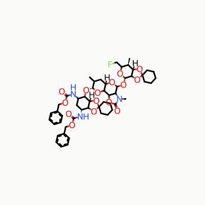 CC1C[C@@H]2OC(O[C@H]3OC(CF)[C@@H](C)[C@@H]4OC5(CCCCC5)OC34)C3C(OC(=O)N3C)C2O[C@@H]1O[C@@H]1C(NC(=O)OCc2ccccc2)C[C@@H](NC(=O)OCc2ccccc2)C2OC3(CCCCC3)O[C@H]21